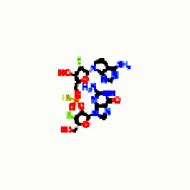 Nc1nc2c(ncn2[C@@H]2O[C@H](CO)[C@H](F)[C@H]2O[P@](=O)(S)OC[C@H]2O[C@@H](n3ccc4c(N)ncnc43)[C@@H](F)[C@@H]2O)c(=O)[nH]1